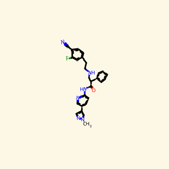 Cn1cc(-c2ccc(NC(=O)C(CNCCc3ccc(C#N)c(F)c3)c3ccccc3)nc2)cn1